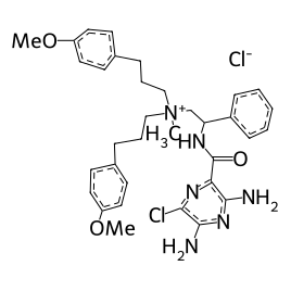 COc1ccc(CCC[N+](C)(CCCc2ccc(OC)cc2)CC(NC(=O)c2nc(Cl)c(N)nc2N)c2ccccc2)cc1.[Cl-]